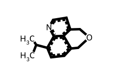 CC(C)c1ccc2c3c(ccnc13)COC2